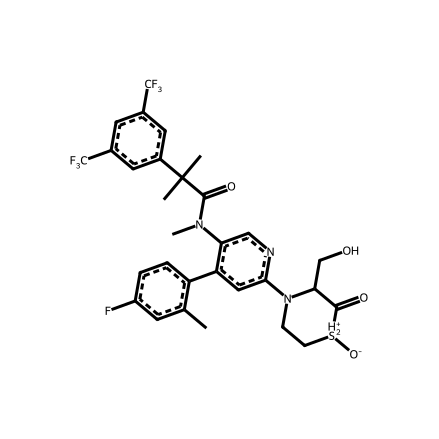 Cc1cc(F)ccc1-c1cc(N2CC[SH2+]([O-])C(=O)C2CO)ncc1N(C)C(=O)C(C)(C)c1cc(C(F)(F)F)cc(C(F)(F)F)c1